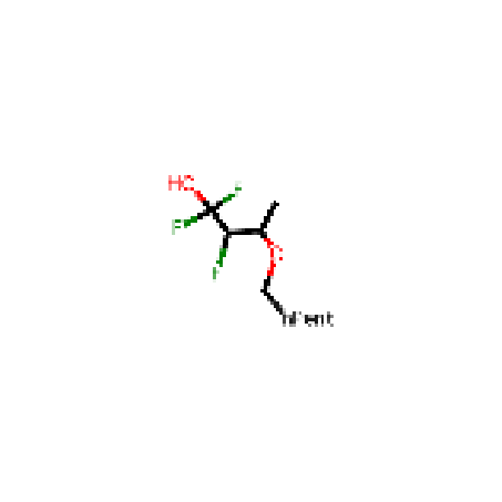 CCCCCCOC(C)C(F)C(O)(F)F